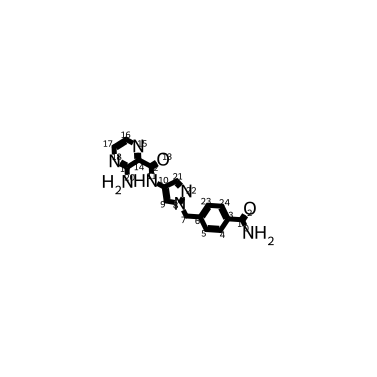 NC(=O)c1ccc(Cn2cc(NC(=O)c3nccnc3N)cn2)cc1